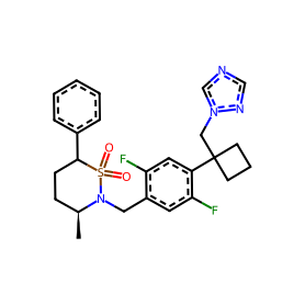 C[C@H]1CCC(c2ccccc2)S(=O)(=O)N1Cc1cc(F)c(C2(Cn3cncn3)CCC2)cc1F